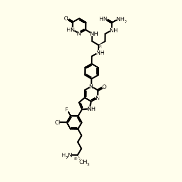 C[C@H](N)CCCc1cc(Cl)c(F)c(-c2cc3cn(-c4ccc(CN[C@H](CCNC(=N)N)CNc5ccc(=O)[nH]n5)cc4)c(=O)nc3[nH]2)c1